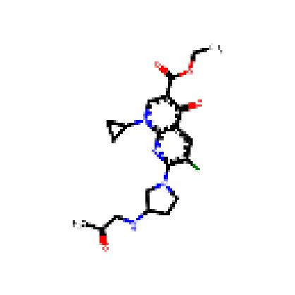 CCOC(=O)c1cn(C2CC2)c2nc(N3CCC(NCC(C)=O)C3)c(F)cc2c1=O